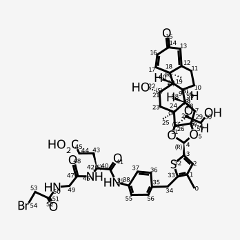 Cc1cc([C@@H]2O[C@@H]3C[C@H]4[C@@H]5CCC6=CC(=O)C=C[C@]6(C)[C@H]5[C@@H](O)C[C@]4(C)[C@]3(C(=O)CO)O2)sc1Cc1ccc(NC(=O)[C@H](CCC(=O)O)NC(=O)CNC(=O)CBr)cc1